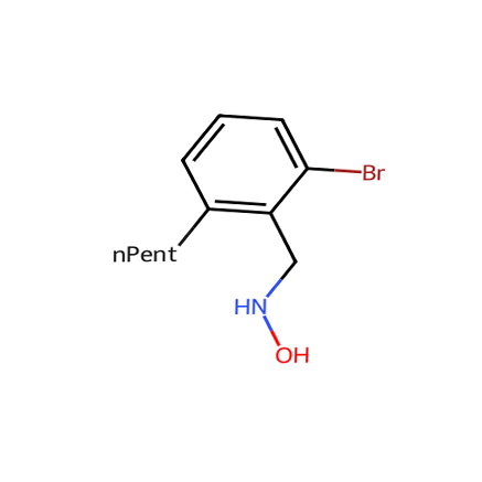 CCCCCc1cccc(Br)c1CNO